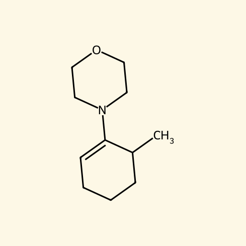 CC1CCCC=C1N1CCOCC1